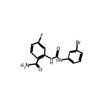 NC(=O)c1ccc(F)cc1NC(=O)Nc1cccc(Br)c1